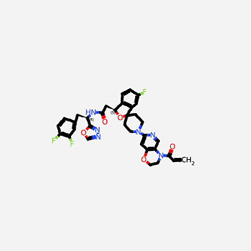 C=CC(=O)N1CCOc2cc(N3CCC4(CC3)O[C@@H](CC(=O)N[C@H](Cc3ccc(F)c(F)c3)c3nnco3)c3ccc(F)cc34)ncc21